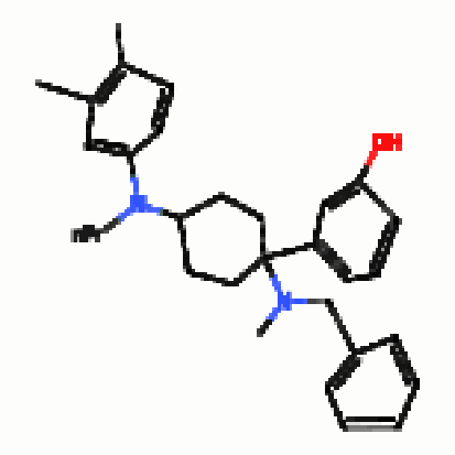 CCCN(c1ccc(C)c(C)c1)C1CCC(c2cccc(O)c2)(N(C)Cc2ccccc2)CC1